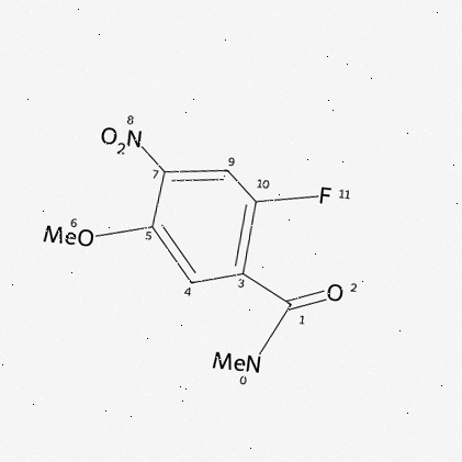 CNC(=O)c1cc(OC)c([N+](=O)[O-])cc1F